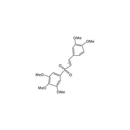 COc1ccc(/C=C/S(=O)(=O)c2cc(OC)c(OC)c(OC)c2)cc1OC